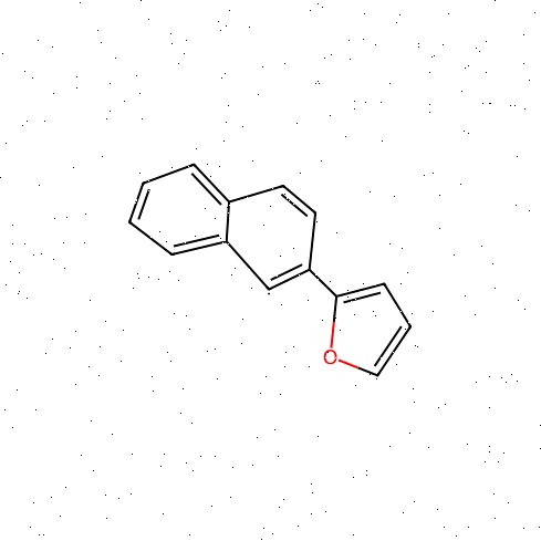 [c]1c(-c2ccco2)ccc2ccccc12